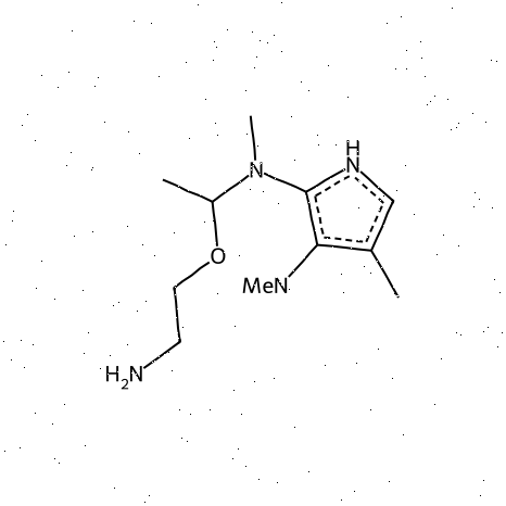 CNc1c(C)c[nH]c1N(C)C(C)OCCN